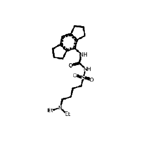 CCN(CC)CCCCS(=O)(=O)NC(=O)Nc1c2c(cc3c1CCC3)CCC2